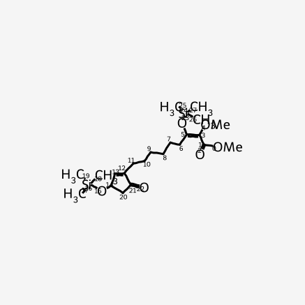 COC(=O)C(OC)=C(CCCCCCC1=CC(O[Si](C)(C)C)CC1=O)O[Si](C)(C)C